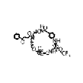 CC1(C)CNC(=O)c2ccc(cc2)Nc2nc(nc(OCC(F)(F)F)n2)NCc2ccc(c(Cl)c2)OCCCN(C(=O)CCC(=O)c2ccccc2)C1